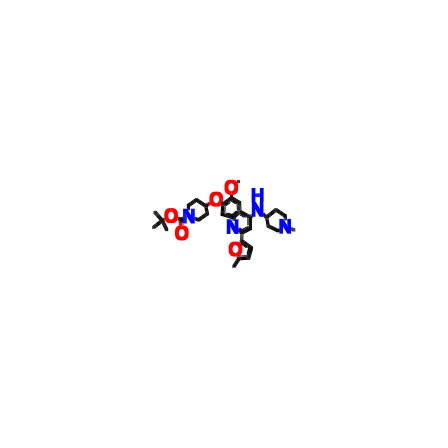 COc1cc2c(NC3CCN(C)CC3)cc(-c3ccc(C)o3)nc2cc1OC1CCN(C(=O)OC(C)(C)C)CC1